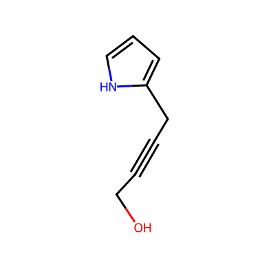 OCC#CCc1ccc[nH]1